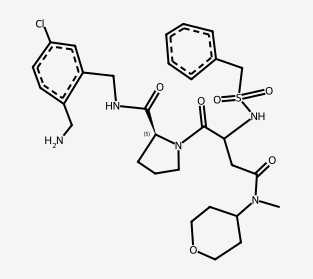 CN(C(=O)CC(NS(=O)(=O)Cc1ccccc1)C(=O)N1CCC[C@H]1C(=O)NCc1cc(Cl)ccc1CN)C1CCOCC1